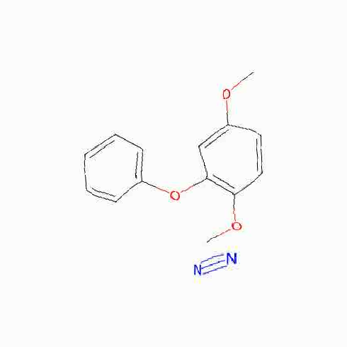 COc1ccc(OC)c(Oc2ccccc2)c1.N#N